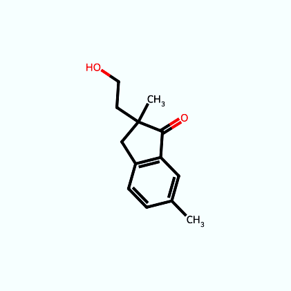 Cc1ccc2c(c1)C(=O)C(C)(CCO)C2